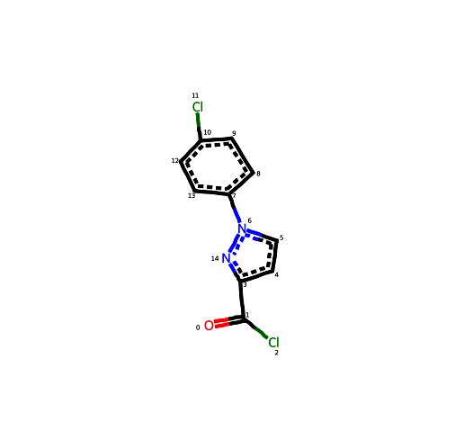 O=C(Cl)c1ccn(-c2ccc(Cl)cc2)n1